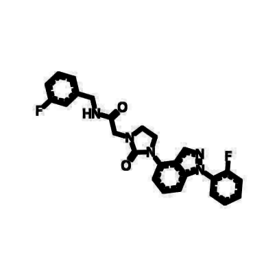 O=C(CN1CCN(c2cccc3c2cnn3-c2ccccc2F)C1=O)NCc1cccc(F)c1